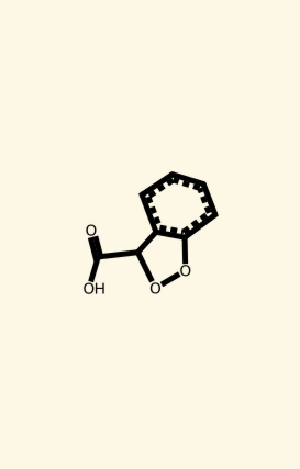 O=C(O)C1OOc2ccccc21